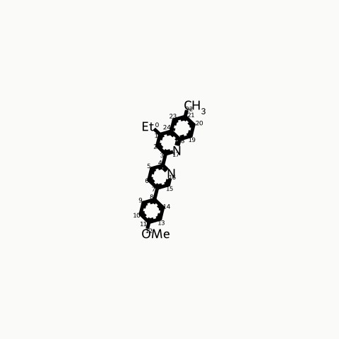 CCc1cc(-c2ccc(-c3ccc(OC)cc3)cn2)nc2ccc(C)cc12